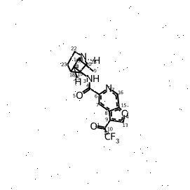 C[C@H]1[C@H](NC(=O)c2cc3c(C(=O)C(F)(F)F)coc3cn2)C2CCN1CC2